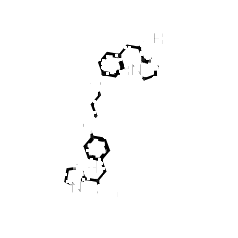 CC(Cc1ccc(OCCCOc2ccc(CC(C)C3=NCCN3)cc2)cc1)C1=NCCN1